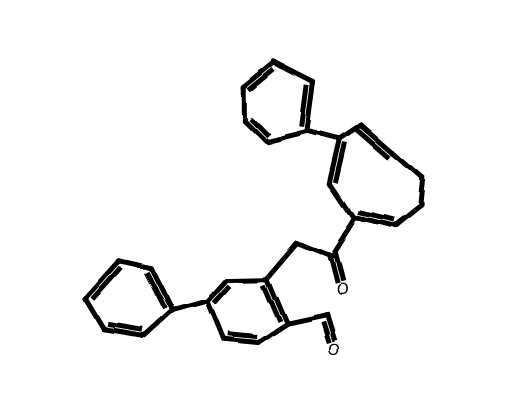 O=Cc1ccc(-c2ccccc2)cc1CC(=O)C1=C/CC/C=C/C(c2ccccc2)=C\1